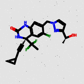 C[C@@H](O)c1ccn(Cc2cc3c(cc2F)[C@@](C#CC2CC2)(C(C)(F)F)NC(=O)N3)n1